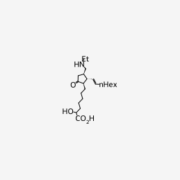 CCCCCCC=C[C@H]1[C@H](CNCC)CC(=O)[C@@H]1CCCCCC(O)C(=O)O